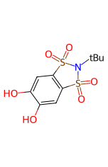 CC(C)(C)N1S(=O)(=O)c2cc(O)c(O)cc2S1(=O)=O